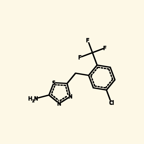 Nc1nnc(Cc2cc(Cl)ccc2C(F)(F)F)s1